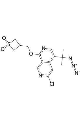 CC(C)(N=[N+]=[N-])c1cnc(OCC2CS(=O)(=O)C2)c2cnc(Cl)cc12